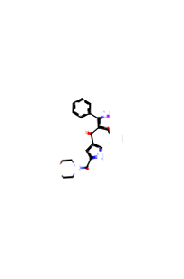 Cc1onc(-c2ccccc2)c1C(=O)c1c[nH]c(C(=O)N2CCSCC2)c1